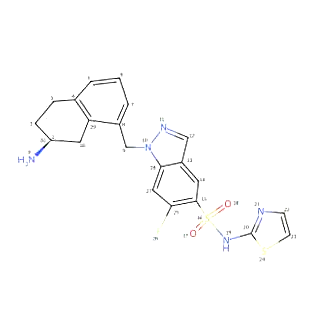 N[C@H]1CCc2cccc(Cn3ncc4cc(S(=O)(=O)Nc5nccs5)c(F)cc43)c2C1